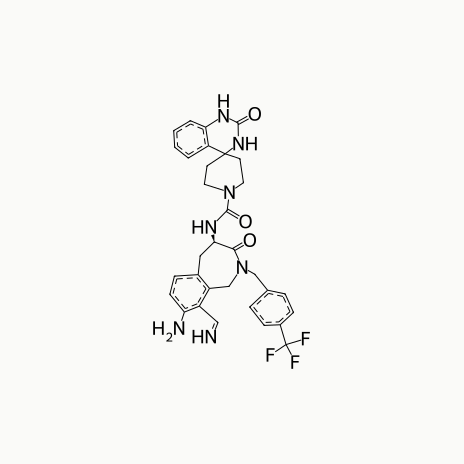 N=Cc1c(N)ccc2c1CN(Cc1ccc(C(F)(F)F)cc1)C(=O)[C@H](NC(=O)N1CCC3(CC1)NC(=O)Nc1ccccc13)C2